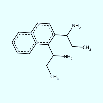 CCC(N)c1ccc2ccccc2c1C(N)CC